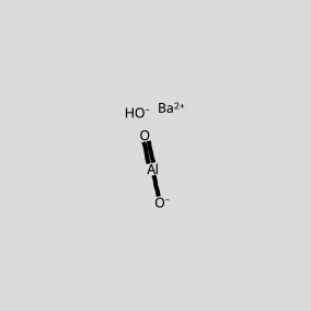 [Ba+2].[OH-].[O]=[Al][O-]